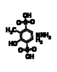 Cc1c(S(=O)(=O)O)ccc(S(=O)(=O)O)c1O.N.N